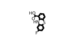 O=C(O)c1cccc2c1Nc1cc(F)ccc1S2